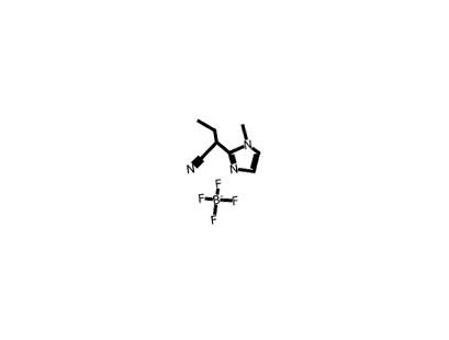 CCC(C#N)c1nccn1C.F[B-](F)(F)F